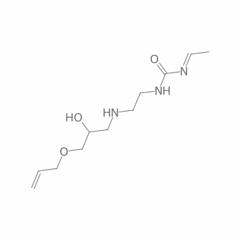 C=CCOCC(O)CNCCNC(=O)N=CC